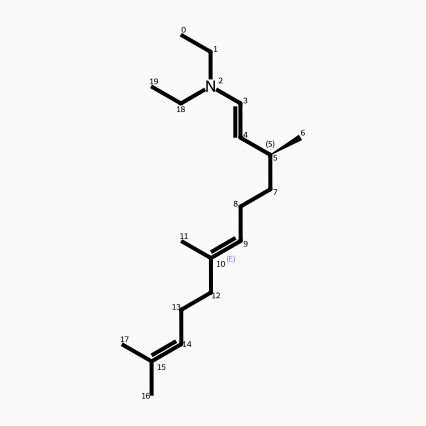 CCN(C=C[C@@H](C)CC/C=C(\C)CCC=C(C)C)CC